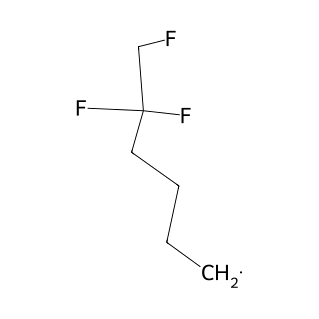 [CH2]CCCC(F)(F)CF